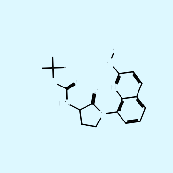 COc1ccc2cccc(N3CCC(NC(=O)OC(C)(C)C)C3=O)c2n1